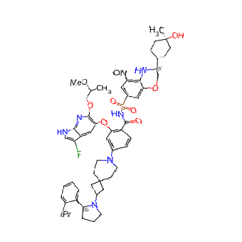 COC(C)COc1nc2[nH]cc(F)c2cc1Oc1cc(N2CCC3(CC2)CC(N2CCC[C@H]2c2ccccc2C(C)C)C3)ccc1C(=O)NS(=O)(=O)c1cc(N=O)c2c(c1)OC[C@H]([C@H]1CC[C@](C)(O)CC1)N2